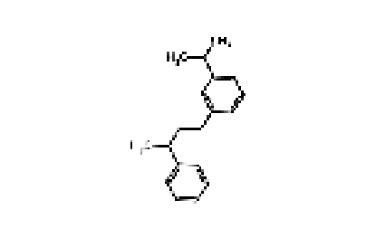 CC(C)c1cccc([CH]CC(C)c2ccccc2)c1